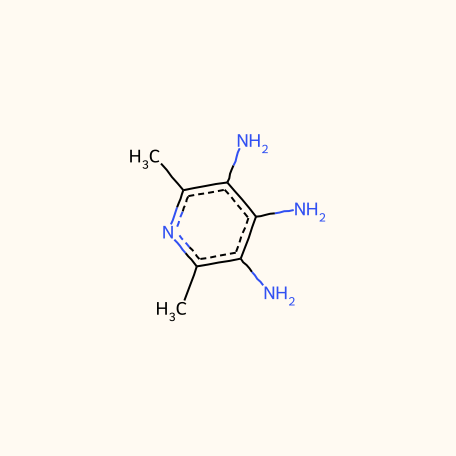 Cc1nc(C)c(N)c(N)c1N